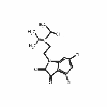 CC(C)N(CCN1C(=O)C(=O)c2c(Cl)cc(Cl)cc21)C(C)C